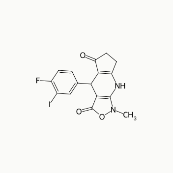 Cn1oc(=O)c2c1NC1=C(C(=O)CC1)C2c1ccc(F)c(I)c1